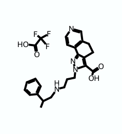 CC(CNCCCn1nc2c(c1C(=O)O)CCc1cnccc1-2)c1ccccc1.O=C(O)C(F)(F)F